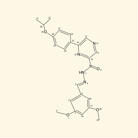 COc1cc(/C=N/NC(=O)c2cncc(-c3ccc(OC(C)C)cc3)n2)cc(OC)c1